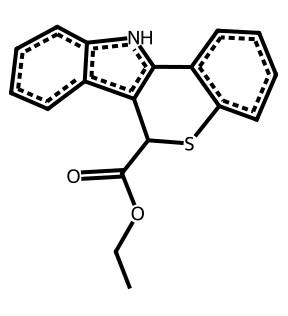 CCOC(=O)C1Sc2ccccc2-c2[nH]c3ccccc3c21